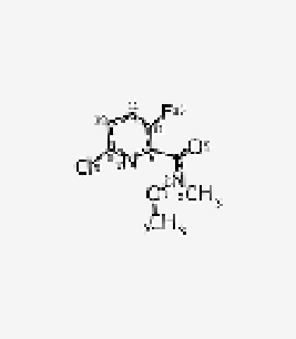 CON(C)C(=O)c1nc(Cl)ccc1F